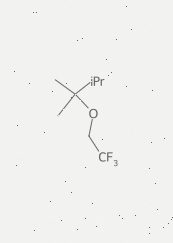 CC(C)C(C)(C)OCC(F)(F)F